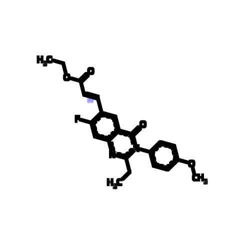 CCOC(=O)/C=C/c1cc2c(=O)n(-c3ccc(OC)cc3)c(CC)nc2cc1F